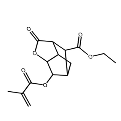 C=C(C)C(=O)OC1C2CC3C1OC(=O)C3C2C(=O)OCC